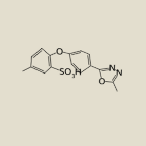 Cc1ccc(Oc2ccc(-c3nnc(C)o3)cc2)c(S(=O)(=O)O)c1